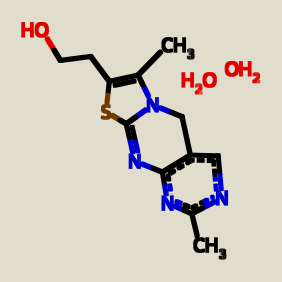 CC1=C(CCO)SC2=Nc3nc(C)ncc3CN21.O.O